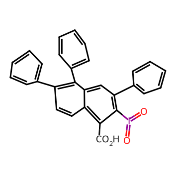 O=C(O)c1c(I(=O)=O)c(-c2ccccc2)cc2c(-c3ccccc3)c(-c3ccccc3)ccc12